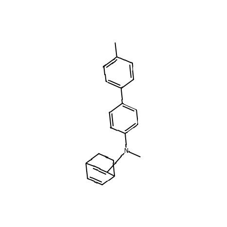 Cc1ccc(-c2ccc(N(C)C3=CC4C=CC3CC4)cc2)cc1